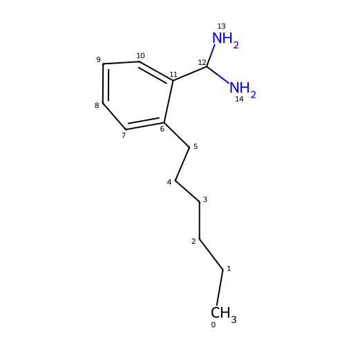 CCCCCCc1ccccc1C(N)N